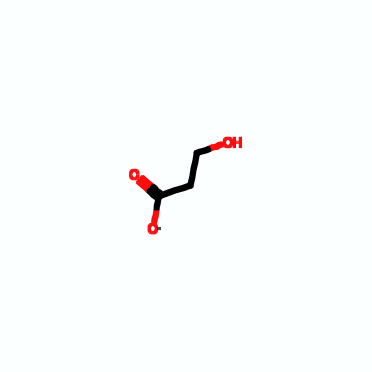 [O]C(=O)CCO